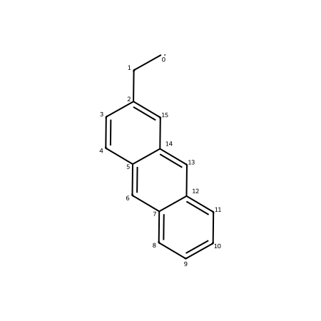 [CH2]Cc1ccc2cc3ccccc3cc2c1